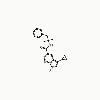 Cn1cc(C2CC2)c2cc(C(=O)NC(C)(C)Cc3ccccc3)cnc21